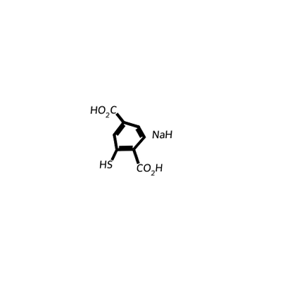 O=C(O)c1ccc(C(=O)O)c(S)c1.[NaH]